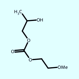 COCCOC(=O)OCC(C)O